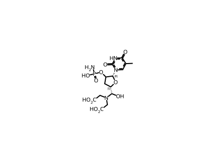 Cc1cn([C@@H]2O[C@H](C(O)N(CC(=O)O)CC(=O)O)CC2OP(N)(=O)O)c(=O)[nH]c1=O